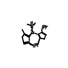 CC1=[C]([Zr]([C]2=C(C)CC=C2C(C)C)[SiH](C)C)C(C(C)C)=CC1